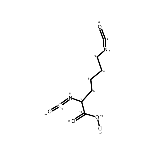 O=C=NCCCCC(N=C=O)C(=O)OCl